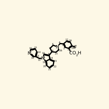 O=C(O)c1cc(CN2CCC(c3cn(Cc4cccnc4)c4ccccc34)CC2)ccc1F